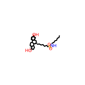 CCCCCCCNS(=O)(=O)CCCCCCC[C@@H]1Cc2cc(O)ccc2C2CC[C@@]3(C)C(CC[C@@H]3O)C21